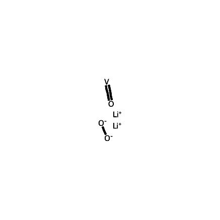 [Li+].[Li+].[O-][O-].[O]=[V]